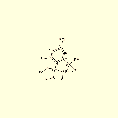 CC[Si](CC)(CC)c1c(C)cc(Cl)cc1C(F)(F)F